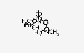 Cc1cc(-c2cccc(C3=Nc4cc(N(C)C(C)C)c(C(F)(F)F)cc4NC(=O)C3)c2)cc(C)n1